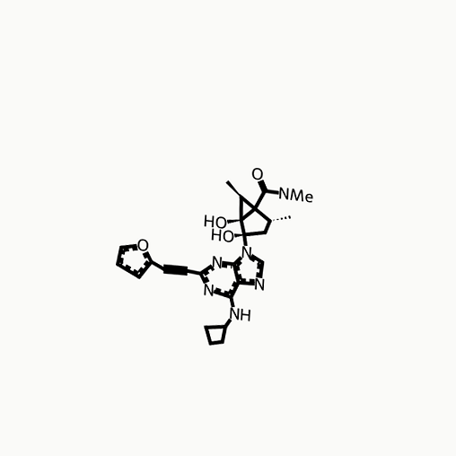 CNC(=O)C12[C@H](C)C[C@](O)(n3cnc4c(NC5CCC5)nc(C#Cc5ccco5)nc43)[C@]1(O)[C@H]2C